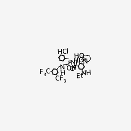 CCNc1cc(C(=O)N[C@@H](Cc2ccccc2)[C@@H](O)CNCc2cc(C(F)(F)F)cc(C(F)(F)F)c2)cc(N2CCCCS2(O)O)c1.Cl